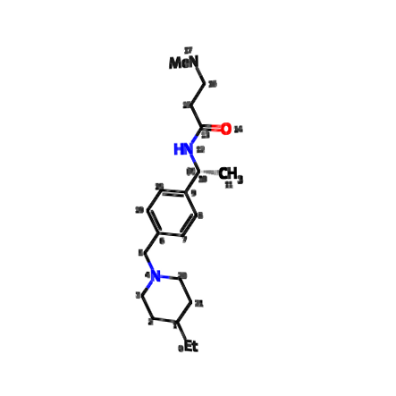 CCC1CCN(Cc2ccc([C@@H](C)NC(=O)CCNC)cc2)CC1